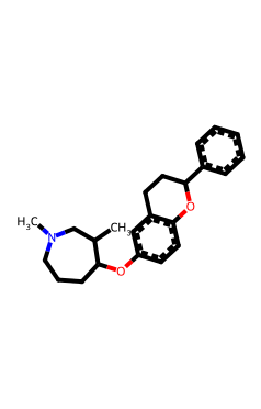 CC1CN(C)CCCC1Oc1ccc2c(c1)CCC(c1ccccc1)O2